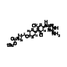 CC(C)(C)OC(=O)N1CC(COc2ccc(-c3c(Cl)cc(Nc4n[nH]c(N)n4)cc3Cl)cc2)C1